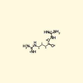 N=C(N)NCCCC(=O)ONC(=N)N